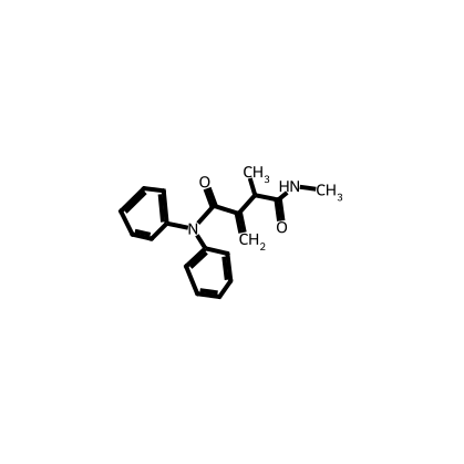 C=C(C(=O)N(c1ccccc1)c1ccccc1)C(C)C(=O)NC